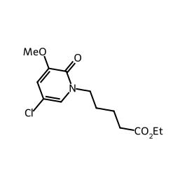 CCOC(=O)CCCCn1cc(Cl)cc(OC)c1=O